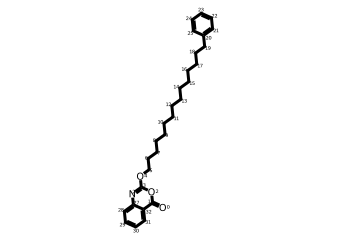 O=c1oc(OCCCCCCCCCCCCCCCc2ccccc2)nc2ccccc12